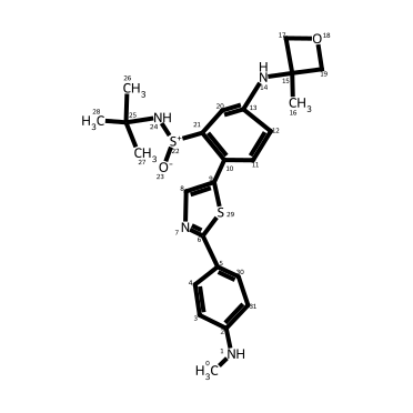 CNc1ccc(-c2ncc(-c3ccc(NC4(C)COC4)cc3[S+]([O-])NC(C)(C)C)s2)cc1